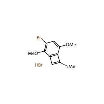 Br.CNC1=Cc2c(OC)c(Br)cc(OC)c21